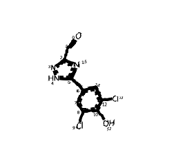 O=Cc1n[nH]c(-c2cc(Cl)c(O)c(Cl)c2)n1